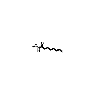 CONC(=O)CCCCCCI